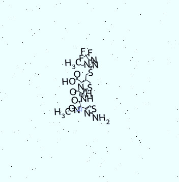 CCn1c(SCC2=C(C(=O)O)N3C(=O)[C@@H](NC(=O)/C(=N\OC)c4csc(N)n4)[C@H]3SC2)nnc1C(F)(F)F